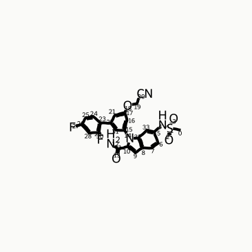 CS(=O)(=O)Nc1ccc2cc(C(N)=O)n(-c3cc(OCC#N)cc(-c4ccc(F)cc4F)c3)c2c1